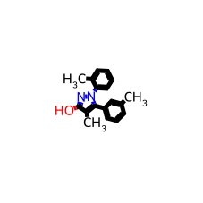 Cc1cccc(-c2c(C)c(O)nn2-c2ccccc2C)c1